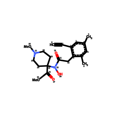 C#Cc1cc(C)cc(C)c1CC(=O)N(O)C1(C(=O)OC)CCN(OC)CC1